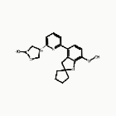 COc1ccc(-c2cccc([C@@H]3COB(O)C3)n2)c2c1OC1(CCCC1)C2